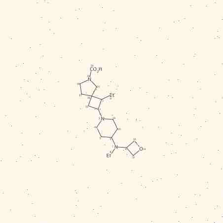 CCC1C(N2CCC(N(CC)C3COC3)CC2)CC12CCN(C(=O)O)C2